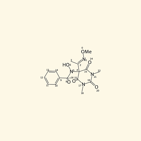 CO/N=C(\C)C1(N(O)C(=O)c2ccccc2)C(=O)N(C)C(=O)N(C)C1=O